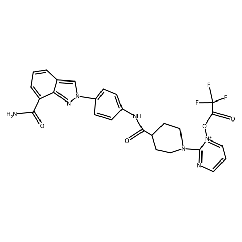 NC(=O)c1cccc2cn(-c3ccc(NC(=O)C4CCN(c5nccc[n+]5OC(=O)C(F)(F)F)CC4)cc3)nc12